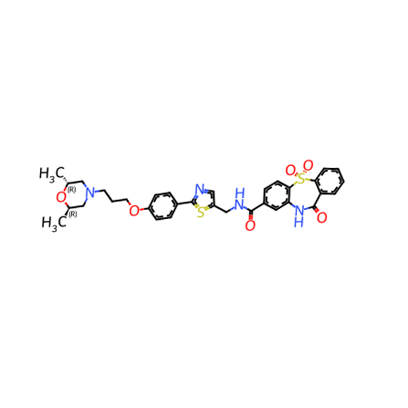 C[C@@H]1CN(CCCOc2ccc(-c3ncc(CNC(=O)c4ccc5c(c4)NC(=O)c4ccccc4S5(=O)=O)s3)cc2)C[C@@H](C)O1